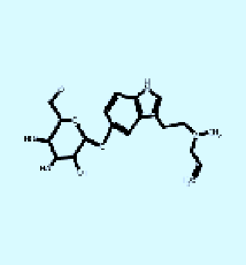 C=CCN(C)CCc1c[nH]c2ccc(OC3OC(CO)C(O)C(O)C3O)cc12